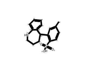 Cc1ccc(S(=O)(=O)O)c(C2CCCNc3ccccc32)c1